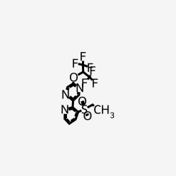 CCS(=O)(=O)c1cccnc1-c1cnc(OC(C(F)(F)F)C(F)(F)F)cn1